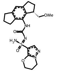 COC[C@H]1CCc2cc3c(c(NC(=O)N=[S@@](N)(=O)c4cnn5c4OCCC5)c21)CCC3